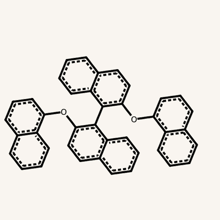 c1ccc2c(Oc3ccc4ccccc4c3-c3c(Oc4cccc5ccccc45)ccc4ccccc34)cccc2c1